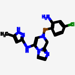 Cc1cc(NC2=CN(Sc3ccc(Cl)cc3N)CC3=NC=C[N+]23)n[nH]1